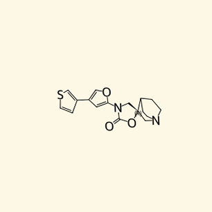 O=C1O[C@]2(CN3CCC2CC3)CN1c1cc(-c2ccsc2)co1